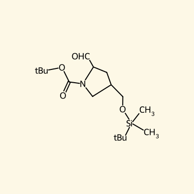 CC(C)(C)OC(=O)N1CC(CO[Si](C)(C)C(C)(C)C)CC1C=O